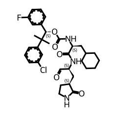 CC(C)(c1cccc(Cl)c1)[C@@H](OC(=O)N[C@@H](CC1CCCCC1)C(=O)N[C@H](C=O)C[C@@H]1CCNC1=O)c1cccc(F)c1